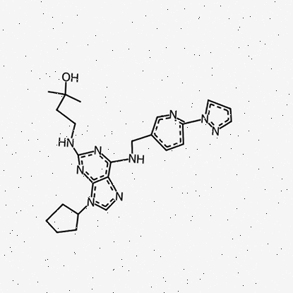 CC(C)(O)CCNc1nc(NCc2ccc(-n3cccn3)nc2)c2ncn(C3CCCC3)c2n1